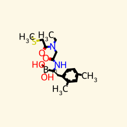 CCN(CC(=O)N[C@@H](Cc1ccc(C)cc1C)B(O)O)C(=O)CSC